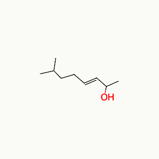 CC(O)C=CCCC(C)C